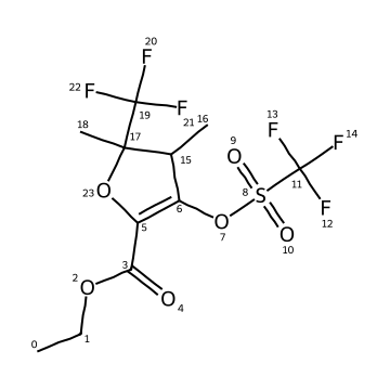 CCOC(=O)C1=C(OS(=O)(=O)C(F)(F)F)C(C)C(C)(C(F)(F)F)O1